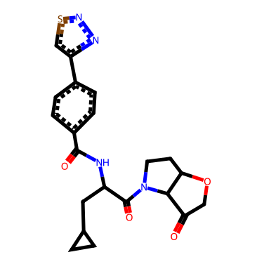 O=C(NC(CC1CC1)C(=O)N1CCC2OCC(=O)C21)c1ccc(-c2csnn2)cc1